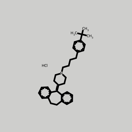 CC(C)(C)c1ccc(CCCCN2CCC(=C3c4ccccc4CCc4ccccc43)CC2)cc1.Cl